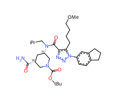 COCCCCc1c(C(=O)N(CC(C)C)[C@H]2C[C@@H](C(N)=O)CN(C(=O)OC(C)(C)C)C2)nnn1-c1ccc2c(c1)CCC2